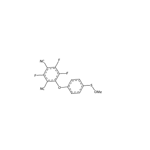 COSc1ccc(Oc2c(F)c(F)c(C#N)c(F)c2C#N)cc1